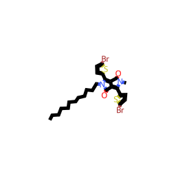 CCCCCCCCCCCCN1C(=O)C2=C(c3ccc(Br)s3)N(C)C(=O)C2=C1c1ccc(Br)s1